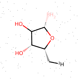 [2H]C[C@H]1O[C@@H](B)C(O)[C@H]1O